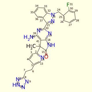 CC1(c2ccc(CCc3nn[nH]n3)cn2)C(=O)Nc2nc(-c3nn(Cc4ccccc4F)c4ccccc34)nc(N)c21